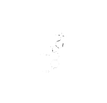 CCS(=O)(=O)c1ccc2c(c1)nc(CC(C)(C)C)n2CC1CCN(C=O)CC1